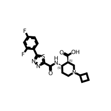 O=C(N[C@H]1CCN(C2CCC2)C[C@@H]1C(=O)O)c1nnc(-c2ccc(F)cc2F)s1